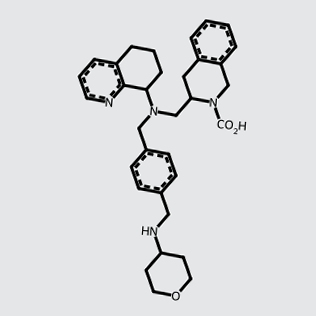 O=C(O)N1Cc2ccccc2CC1CN(Cc1ccc(CNC2CCOCC2)cc1)C1CCCc2cccnc21